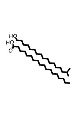 CC(C)CCCCCCCCCCCCCCCO.CCCCCCCCCCCCCCCCCC(=O)O